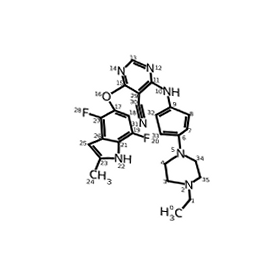 CCN1CCN(c2ccc(Nc3ncnc(Oc4cc(F)c5[nH]c(C)cc5c4F)c3C#N)cc2)CC1